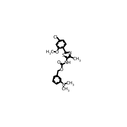 COc1cc(Cl)ccc1-c1nc(C)c(NC(=O)OCc2cccc(N(C)C)c2)s1